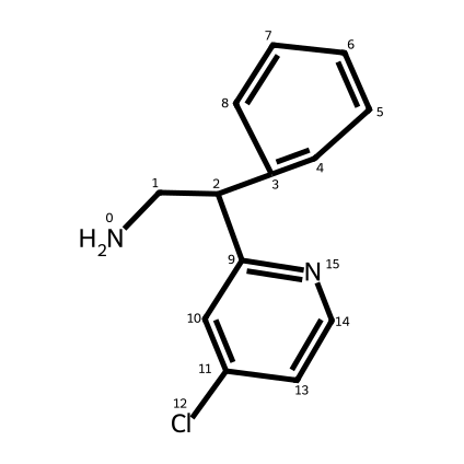 NCC(c1ccccc1)c1cc(Cl)ccn1